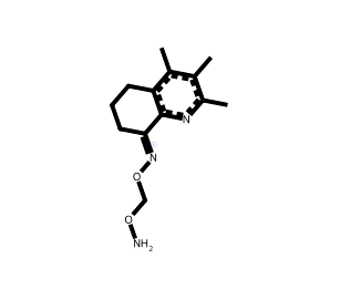 Cc1nc2c(c(C)c1C)CCC/C2=N\OCON